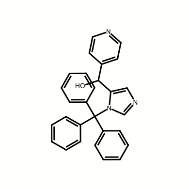 OC(c1ccncc1)c1cncn1C(c1ccccc1)(c1ccccc1)c1ccccc1